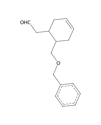 O=CCC1CC=CCC1COCc1ccccc1